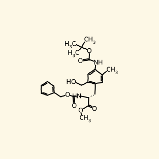 COC(=O)[C@@H](Cc1cc(C)c(NC(=O)OC(C)(C)C)cc1CO)NC(=O)OCc1ccccc1